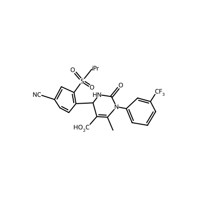 CC1=C(C(=O)O)C(c2ccc(C#N)cc2S(=O)(=O)C(C)C)NC(=O)N1c1cccc(C(F)(F)F)c1